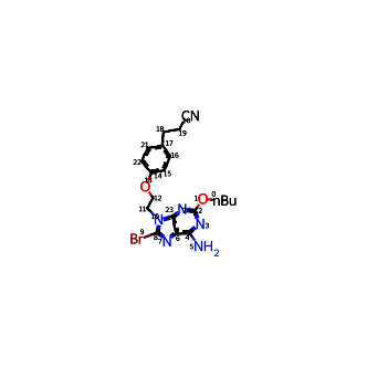 CCCCOc1nc(N)c2nc(Br)n(CCOc3ccc(CCC#N)cc3)c2n1